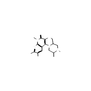 Cc1nc2c(cc1F)c1c(c(=O)n2C)OCC2CN(C)C(C)CN12